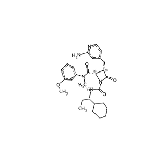 CCC(NC(=O)N1C(=O)[C@H](Cc2ccnc(N)c2)[C@H]1C(=O)N(C)c1cccc(OC)c1)C1CCCCC1